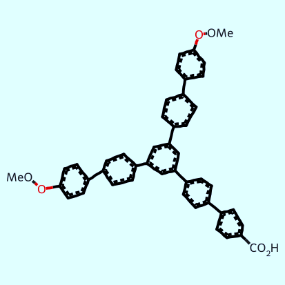 COOc1ccc(-c2ccc(-c3cc(-c4ccc(-c5ccc(OOC)cc5)cc4)cc(-c4ccc(-c5ccc(C(=O)O)cc5)cc4)c3)cc2)cc1